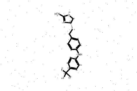 NC1=N[C@@H](CCc2ccc(Nc3ccc(C(F)(F)F)cc3)cc2)CO1